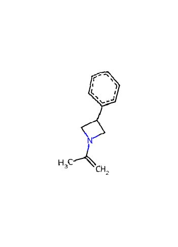 C=C(C)N1CC(c2ccccc2)C1